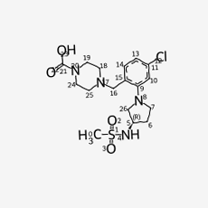 CS(=O)(=O)N[C@@H]1CCN(c2cc(Cl)ccc2CN2CCN(C(=O)O)CC2)C1